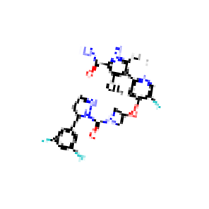 Cc1[nH]c(C(N)=O)c(C)c1-c1cc(OC2CN(C(=O)N3N=CCC3c3cc(F)cc(F)c3)C2)c(F)cn1